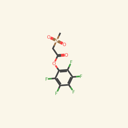 CS(=O)(=O)CC(=O)Oc1c(F)c(F)c(F)c(F)c1F